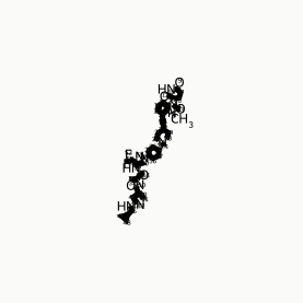 Cn1c(=O)n(C2CCC(=O)NC2=O)c2cccc(C#CC3CCN(C[C@H]4CC[C@H](n5cc(NC(=O)c6coc(-c7ccnc(NCC8CC8)c7)n6)c(C(F)F)n5)CC4)CC3)c21